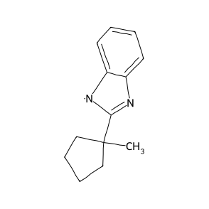 CC1(C2=Nc3ccccc3[N]2)CCCC1